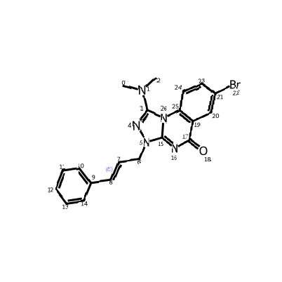 CN(C)c1nn(C/C=C/c2ccccc2)c2nc(=O)c3cc(Br)ccc3n12